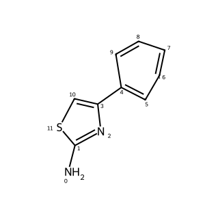 Nc1nc(-c2c[c]ccc2)cs1